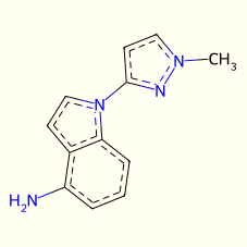 Cn1ccc(-n2ccc3c(N)cccc32)n1